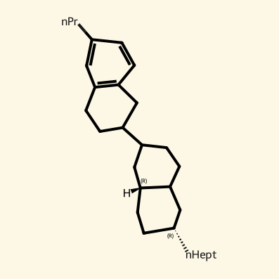 CCCCCCC[C@@H]1CC[C@@H]2CC(C3CCc4cc(CCC)ccc4C3)CCC2C1